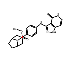 CC(C)(C)OC(=O)N1C2CCC1CC(c1ccc(Nc3n[nH]c4cc[nH]c(=O)c34)cc1)C2